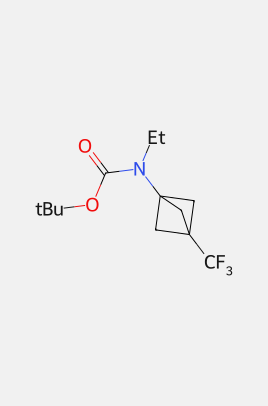 CCN(C(=O)OC(C)(C)C)C12CC(C(F)(F)F)(C1)C2